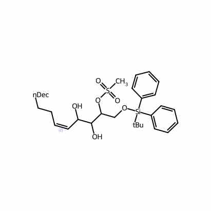 CCCCCCCCCCCC/C=C\C(O)C(O)C(CO[Si](c1ccccc1)(c1ccccc1)C(C)(C)C)OS(C)(=O)=O